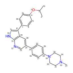 CC(C)Oc1ccc(-c2c[nH]c3ncc(-c4ccc(N5CCN(C)CC5)cc4)cc23)cc1